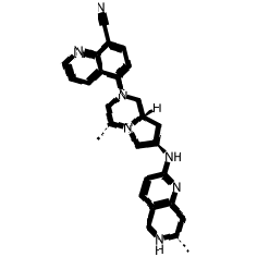 C[C@@H]1CN(c2ccc(C#N)c3ncccc23)C[C@@H]2C[C@@H](Nc3ccc4c(n3)C[C@H](C)NC4)CN21